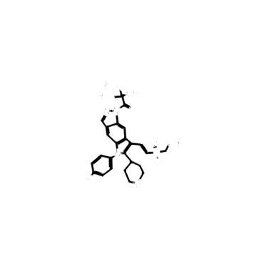 CCS(=O)(=O)/C=C/c1c(C2CCOCC2)n(-c2ccc(F)cc2)c2cc3cnn(C(=O)C(C)(C)C)c3cc12